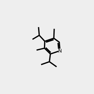 Cc1cnc(C(C)C)c(C)c1C(C)C